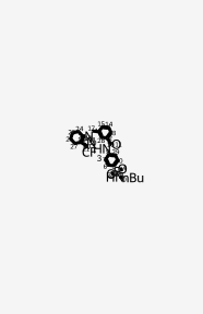 CCCCNS(=O)(=O)c1ccc(NC(=O)c2cccc(Cn3nc(C(F)(F)F)c4c3CCCC4)c2)cc1